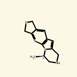 C[C@@H]1CNCc2cc3cc4c(nc3n21)COC4